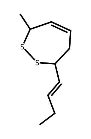 CCC=CC1CC=CC(C)SS1